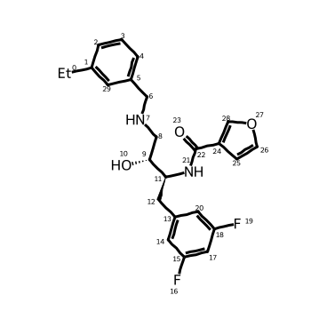 CCc1cccc(CNC[C@@H](O)[C@H](Cc2cc(F)cc(F)c2)NC(=O)c2ccoc2)c1